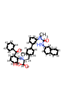 CN(C(=O)Nc1ccc2ccccc2c1)c1cccc(-c2ccc(C[C@@H](C(=O)O)N(C)c3ccccc3C(=O)c3ccccc3)cc2)c1